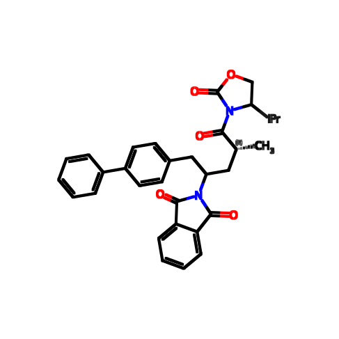 CC(C)C1COC(=O)N1C(=O)[C@H](C)CC(Cc1ccc(-c2ccccc2)cc1)N1C(=O)c2ccccc2C1=O